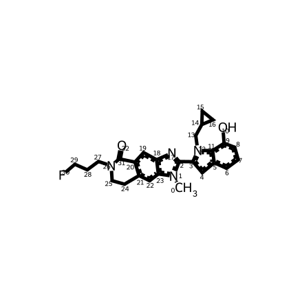 Cn1c(-c2cc3cccc(O)c3n2CC2CC2)nc2cc3c(cc21)CCN(CCCF)C3=O